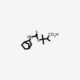 CC(C(=O)O)C(C)(C)SC(=S)NC1CC2CCC1C2